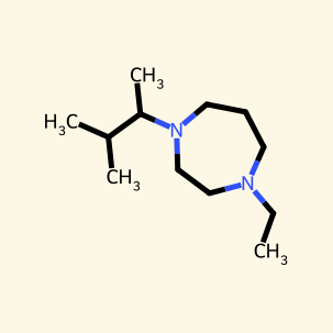 CCN1CCCN(C(C)C(C)C)CC1